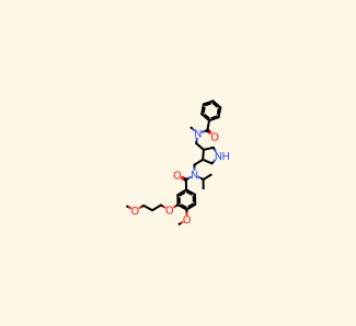 COCCCOc1cc(C(=O)N(CC2CNCC2CN(C)C(=O)c2ccccc2)C(C)C)ccc1OC